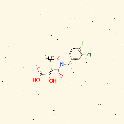 CON(Cc1ccc(F)c(Cl)c1)C(=O)C=C(O)C(=O)O